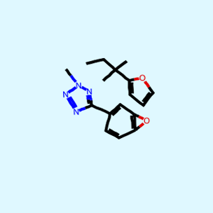 CCC(C)(C)c1ccco1.Cn1nnc(-c2ccc3c(c2)O3)n1